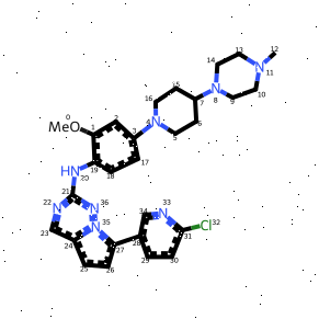 COc1cc(N2CCC(N3CCN(C)CC3)CC2)ccc1Nc1ncc2ccc(-c3ccc(Cl)nc3)n2n1